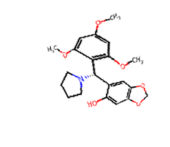 COc1cc(OC)c([C@H](c2cc3c(cc2O)OCO3)N2CCCC2)c(OC)c1